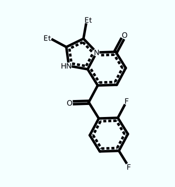 CCc1[nH]c2c(C(=O)c3ccc(F)cc3F)ccc(=O)n2c1CC